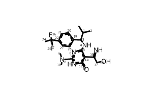 CC(C)C(Nc1nc(N(C)C)[nH]c(=O)c1C(=N)CO)c1ccc(C(C)(F)F)cc1